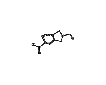 [2H]CN1Cc2ccc([N+](=O)[O-])cc2C1